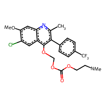 CNCCOC(=O)OCOc1c(-c2ccc(C(F)(F)F)cc2)c(C)nc2cc(OC)c(Cl)cc12